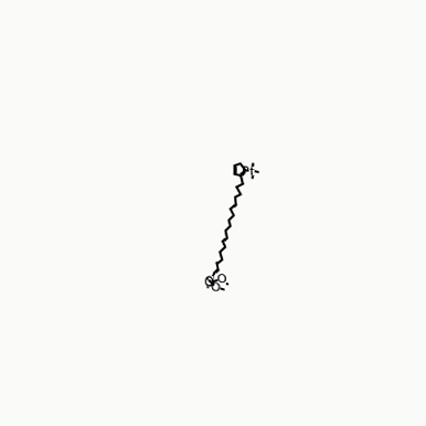 CO[Si](CCCCCCCCCCCCCCCCCCC1=[C]([Pt]([CH3])([CH3])[CH3])CC=C1)(OC)OC